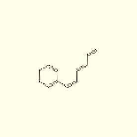 C=C/C=C/C=C\c1ccccc1